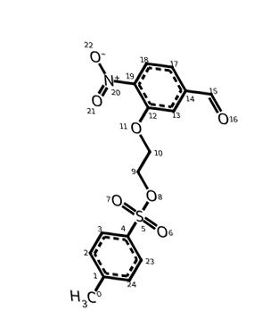 Cc1ccc(S(=O)(=O)OCCOc2cc(C=O)ccc2[N+](=O)[O-])cc1